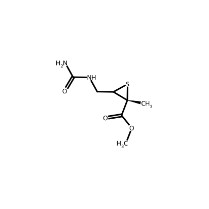 COC(=O)[C@@]1(C)SC1CNC(N)=O